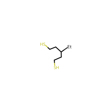 CCC(CCS)CCS